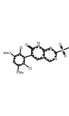 COc1cc(OC)c(Cl)c(-c2cc3cnc(S(C)(=O)=O)nc3[nH]c2=O)c1Cl